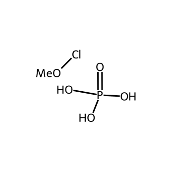 COCl.O=P(O)(O)O